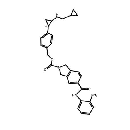 Nc1ccccc1NC(=O)c1ccc2c(c1)CN(C(=O)OCc1ccc([C@H]3CC3NCC3CC3)cc1)C2